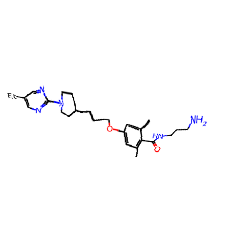 CCc1cnc(N2CCC(CCCOc3cc(C)c(C(=O)NCCCN)c(C)c3)CC2)nc1